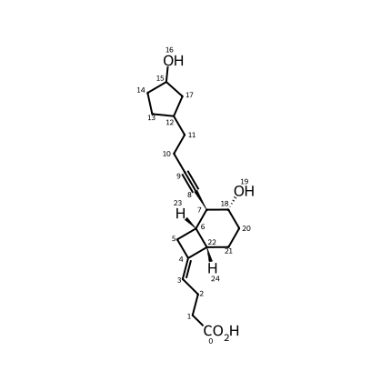 O=C(O)CC/C=C1/C[C@@H]2[C@@H](C#CCCC3CCC(O)C3)[C@H](O)CC[C@H]12